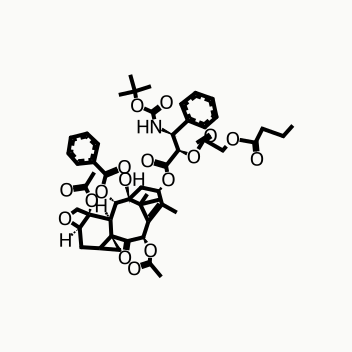 CCCC(=O)OCC(=O)O[C@@H](C(=O)O[C@H]1C[C@@]2(O)[C@@H](OC(=O)c3ccccc3)[C@@H]3[C@]4(OC(C)=O)CO[C@@H]4CC4C[C@@]43C(=O)[C@H](OC(C)=O)C(=C1C)C2(C)C)[C@@H](NC(=O)OC(C)(C)C)c1ccccc1